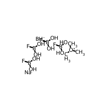 C[O+](C)C.OB(O)F.OB(O)F.OB(O)F.OB(O)F.[BH4-].[Na]